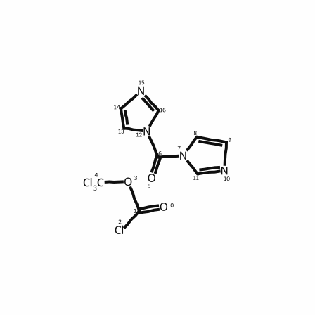 O=C(Cl)OC(Cl)(Cl)Cl.O=C(n1ccnc1)n1ccnc1